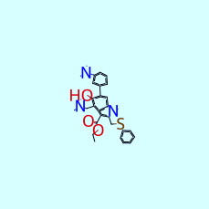 CCOC(=O)c1c(CSc2ccccc2)n(C)c2cc(-c3cccc(N(C)C)c3)c(O)c(CN(C)C)c12